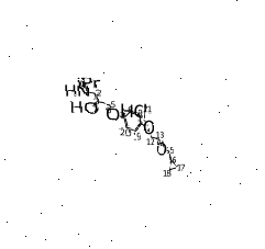 CC(C)NCC(O)COc1ccc(OCCOCC2CC2)cc1.Cl